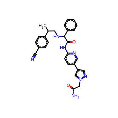 CC(CNC(C(=O)Nc1ccc(-c2cnn(CC(N)=O)c2)cn1)c1ccccc1)c1ccc(C#N)cc1